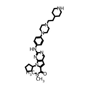 CN(C)C(=O)c1cc2cnc(Nc3ccc(N4CCN(CCC5CCNCC5)CC4)cc3)nc2n1C1CCCC1